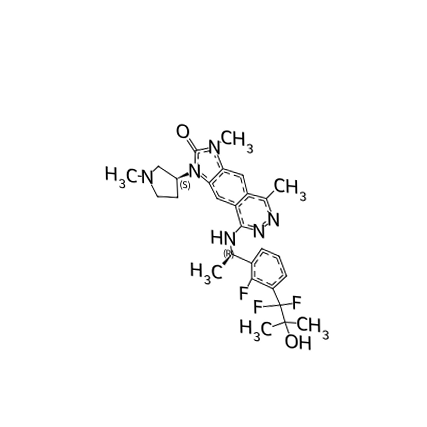 Cc1nnc(N[C@H](C)c2cccc(C(F)(F)C(C)(C)O)c2F)c2cc3c(cc12)n(C)c(=O)n3[C@H]1CCN(C)C1